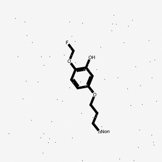 CCCCCCCCCCCCOc1ccc(OCF)c(O)c1